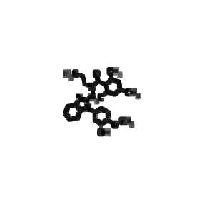 CCCN(Cc1nc2ccccc2n1-c1ccc(OC)c(O)c1)C(=O)c1c(C)cc(C)cc1C